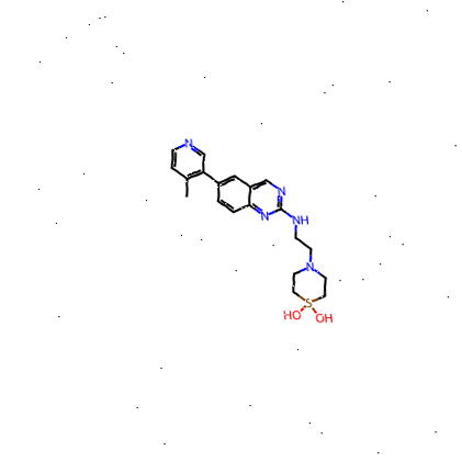 Cc1ccncc1-c1ccc2nc(NCCN3CCS(O)(O)CC3)ncc2c1